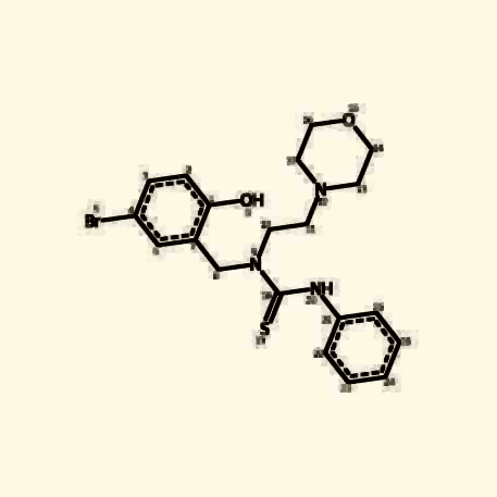 Oc1ccc(Br)cc1CN(CCN1CCOCC1)C(=S)Nc1ccccc1